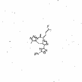 C=C1/C(=C\C=C(/C)F)n2cnc(-c3noc(C(C)C)n3)c2Cc2c(C)nnn21